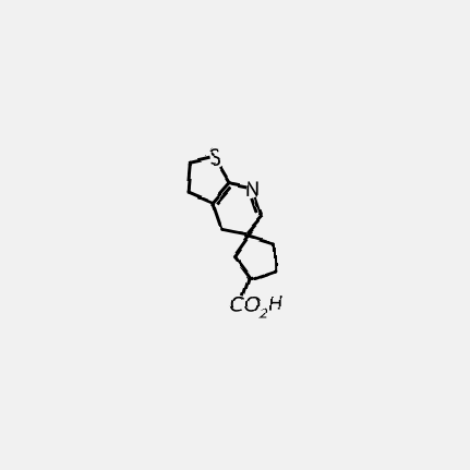 O=C(O)C1CCC2(C=NC3=C(CCS3)C2)C1